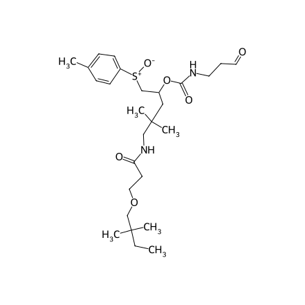 CCC(C)(C)COCCC(=O)NCC(C)(C)CC(C[S+]([O-])c1ccc(C)cc1)OC(=O)NCCC=O